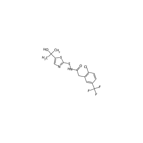 CC(C)(O)c1cnc(SNC(=O)Cc2cc(C(F)(F)F)ccc2Cl)s1